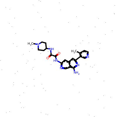 Cc1ccncc1-c1cc2cc(NC(=O)C(=O)NC3CCN(C)CC3)ncc2c(N)n1